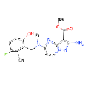 CCN(Cc1c(O)ccc(F)c1C#N)c1ccn2nc(N)c(C(=O)OC(C)(C)C)c2n1